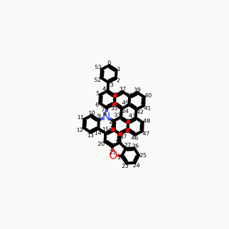 c1ccc(-c2ccc(N(c3ccccc3-c3ccc4c(c3)oc3ccccc34)c3ccccc3-c3cccc4cccc(-c5ccccc5)c34)cc2)cc1